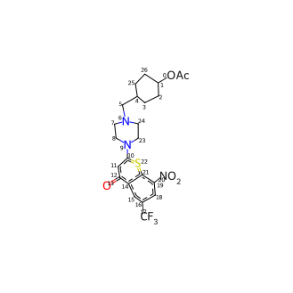 CC(=O)OC1CCC(CN2CCN(c3cc(=O)c4cc(C(F)(F)F)cc([N+](=O)[O-])c4s3)CC2)CC1